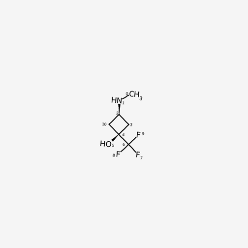 CN[C@H]1C[C@](O)(C(F)(F)F)C1